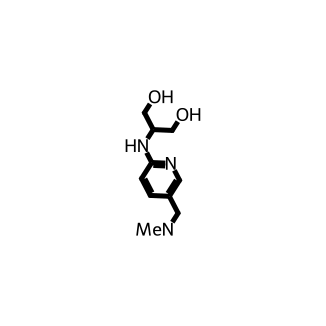 CNCc1ccc(NC(CO)CO)nc1